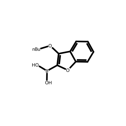 CCCCOc1c(B(O)O)oc2ccccc12